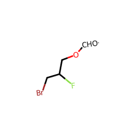 O=[C]OCC(F)CBr